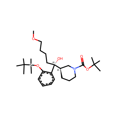 COCCCC[C@](O)(c1ccccc1O[Si](C)(C)C(C)(C)C)[C@@H]1CCCN(C(=O)OC(C)(C)C)C1